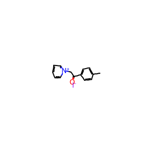 Cc1ccc(C(=O)C[n+]2ccccc2)cc1.[I-]